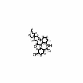 CN1CCC2(CCN(C(=O)N3c4cc(Cl)ccc4C(=O)Nc4cccnc43)C2)C1